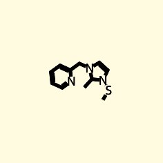 CSN1C=CN(Cc2ccccn2)C1C